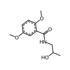 COc1ccc(OC)c(C(=O)NCC(C)O)c1